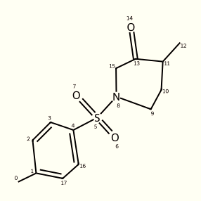 Cc1ccc(S(=O)(=O)N2CCC(C)C(=O)C2)cc1